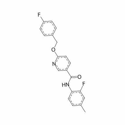 Cc1ccc(NC(=O)c2ccc(OCc3ccc(F)cc3)nc2)c(F)c1